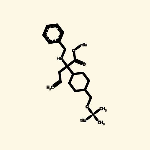 C=CCC(NCc1ccccc1)(C(=O)OCCCC)C1CCC(CO[Si](C)(C)C(C)(C)C)CC1